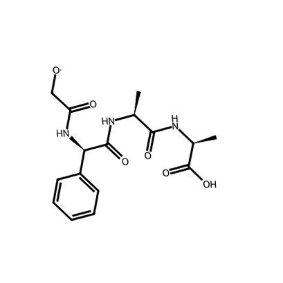 C[C@H](NC(=O)[C@H](C)NC(=O)[C@H](NC(=O)C[O])c1ccccc1)C(=O)O